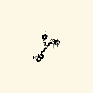 O=C(O)C(CCN(CCCCc1ccc2c(n1)NCCC2)CCOc1ccc(F)cc1)Nc1ncncc1Br